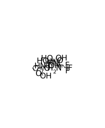 N[C@@H](CCC(F)(F)F)C(=O)N[C@@H](CO)[C@@H](O)[C@@H](O)[C@H](O)C(=O)N[C@@H](CC(=O)O)c1ccccc1